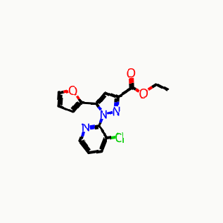 CCOC(=O)c1cc(-c2ccco2)n(-c2ncccc2Cl)n1